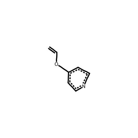 C=COc1ccncc1